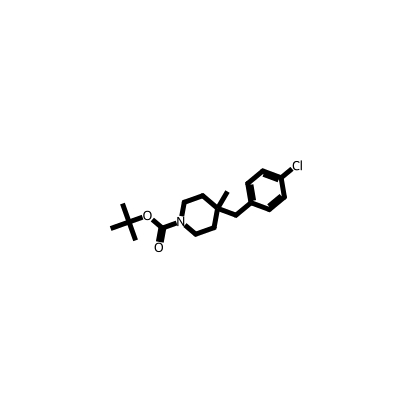 CC1(Cc2ccc(Cl)cc2)CCN(C(=O)OC(C)(C)C)CC1